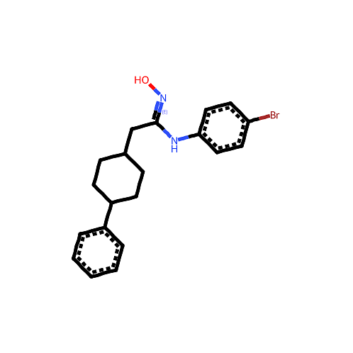 O/N=C(\CC1CCC(c2ccccc2)CC1)Nc1ccc(Br)cc1